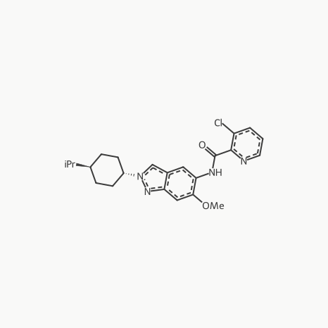 COc1cc2nn([C@H]3CC[C@H](C(C)C)CC3)cc2cc1NC(=O)c1ncccc1Cl